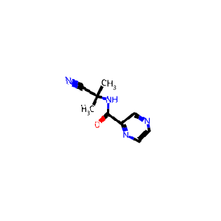 CC(C)(C#N)NC(=O)c1cnccn1